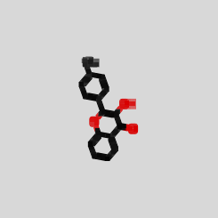 CC(C)(C)c1ccc(-c2oc3ccccc3c(=O)c2O)cc1